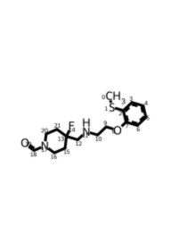 CSc1ccccc1OCCNCC1(F)CCN(C=O)CC1